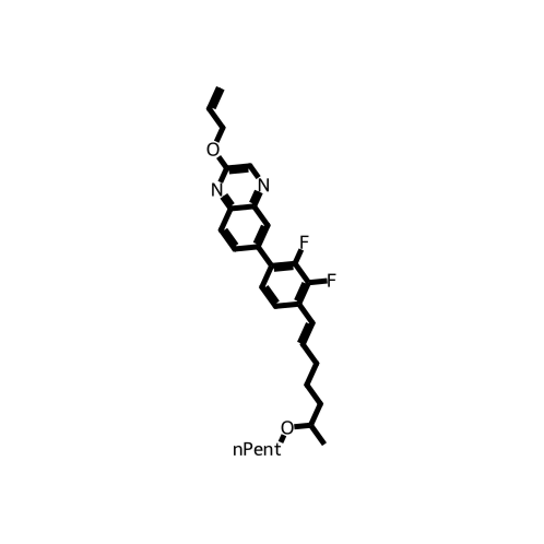 C=CCOc1cnc2cc(-c3ccc(/C=C/CCCC(C)OCCCCC)c(F)c3F)ccc2n1